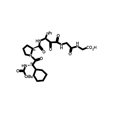 CCCC(NC(=O)[C@@H]1CCCN1C(=O)[C@@H](NC(=O)OCC(C)C)C1CCCCC1)C(=O)C(=O)NCC(=O)NCC(=O)O